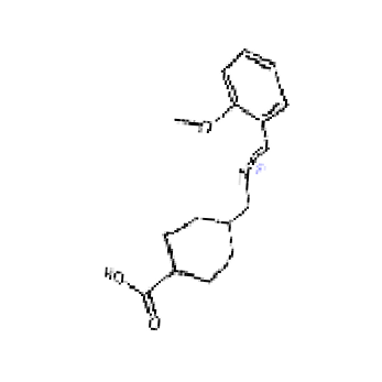 COc1ccccc1/C=N/CC1CCC(C(=O)O)CC1